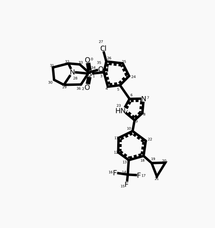 O=S(=O)(c1cc(-c2ncc(-c3ccc(C(F)(F)F)c(C4CC4)c3)[nH]2)ccc1Cl)N1C2CCC1CC(O)C2